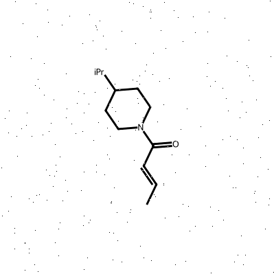 CC=CC(=O)N1CCC(C(C)C)CC1